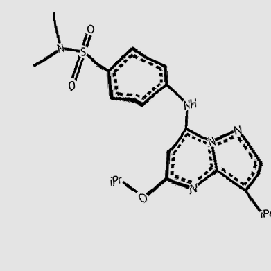 CC(C)Oc1cc(Nc2ccc(S(=O)(=O)N(C)C)cc2)n2ncc(C(C)C)c2n1